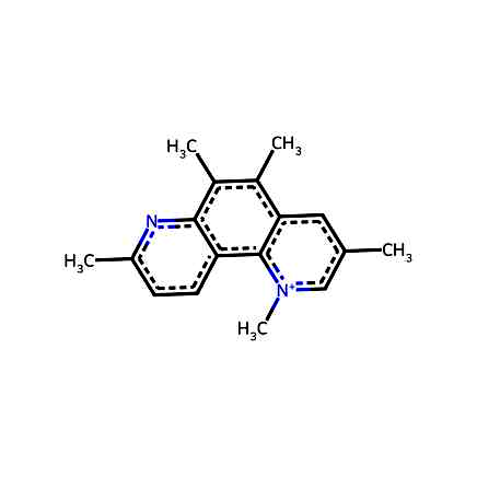 Cc1cc2c(C)c(C)c3nc(C)ccc3c2[n+](C)c1